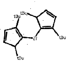 CC(C)(C)C1=[C]([Zr][C]2=C(C(C)(C)C)C=CC2C(C)(C)C)C(C(C)(C)C)C=C1